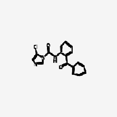 O=C(c1ccccc1)c1ccccc1NC(=O)n1cncc1Cl